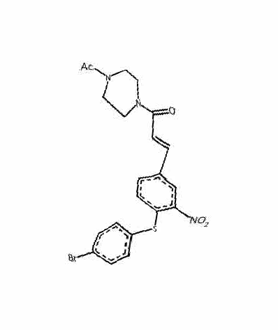 CC(=O)N1CCN(C(=O)C=Cc2ccc(Sc3ccc(Br)cc3)c([N+](=O)[O-])c2)CC1